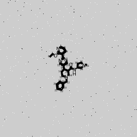 CCOc1ncccc1-c1ncc(C2CCN(Cc3ccccc3)CC2C(=O)N[C@H]2CCN(C)C2)cn1